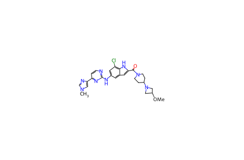 COC1CN(C2CCN(C(=O)c3cc4cc(Nc5nccc(-c6cn(C)cn6)n5)cc(Cl)c4[nH]3)CC2)C1